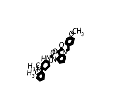 COc1ccc(CN2C(=O)C(=O)c3c2cccc3N2C[C@]3(CC[C@](c4ccccc4)(N(C)C)CC3)NC2=O)cc1